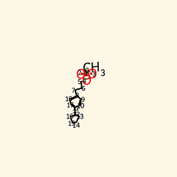 CS(=O)(=O)OCCCc1ccc(C2CCCC2)cc1